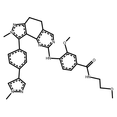 COCCNC(=O)c1ccc(Nc2ncc3c(n2)-c2c(nn(C)c2-c2ccc(-c4cnn(C)c4)cc2)CC3)c(OC)c1